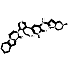 CN1CCn2nc(Nc3cc(-c4cncc(N5CCn6c(cc7c6CCCC7)C5=O)c4CO)cn(C)c3=O)cc2C1